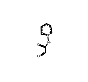 C=CC(=O)N[n+]1ccccc1